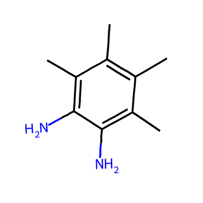 Cc1c(C)c(C)c(N)c(N)c1C